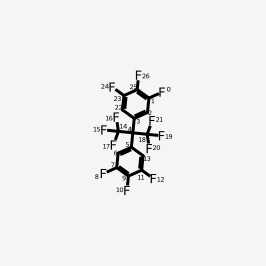 Fc1cc(C(c2cc(F)c(F)c(F)c2)(C(F)(F)F)C(F)(F)F)cc(F)c1F